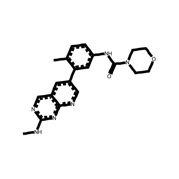 CNc1ncc2cc(-c3cc(NC(=O)N4CCOCC4)ccc3C)cnc2n1